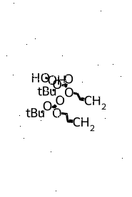 C=CCOC(=O)OC(C)(C)C.C=CCOC(=O)OC(C)(C)C.OO